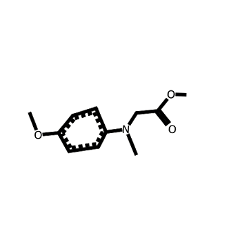 COC(=O)CN(C)c1ccc(OC)cc1